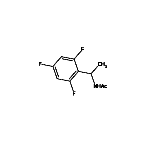 CC(=O)NC(C)c1c(F)cc(F)cc1F